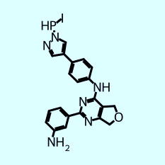 Nc1cccc(-c2nc3c(c(Nc4ccc(-c5cnn(PI)c5)cc4)n2)COC3)c1